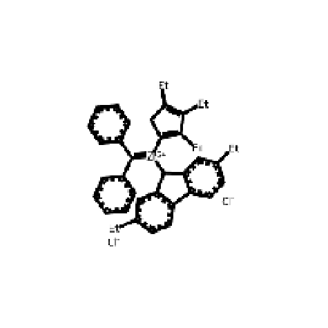 CCC1=C(CC)C(CC)=[C]([Zr+2](=[C](c2ccccc2)c2ccccc2)[CH]2c3cc(CC)ccc3-c3ccc(CC)cc32)C1.[Cl-].[Cl-]